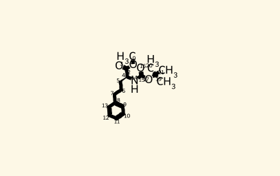 COC(=O)[C@H](CCCc1ccccc1)NC(=O)OC(C)(C)C